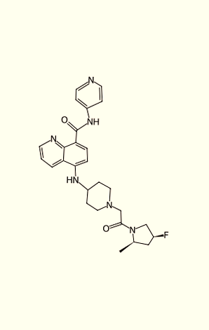 C[C@@H]1C[C@H](F)CN1C(=O)CN1CCC(Nc2ccc(C(=O)Nc3ccncc3)c3ncccc23)CC1